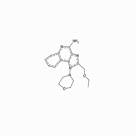 CCOCc1nc2c(N)nc3ccccc3c2n1N1CCOCC1